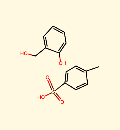 Cc1ccc(S(=O)(=O)O)cc1.OCc1ccccc1O